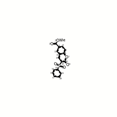 COC(=O)c1ccc2oc(=O)c(S(=O)(=O)c3ccccc3)cc2c1